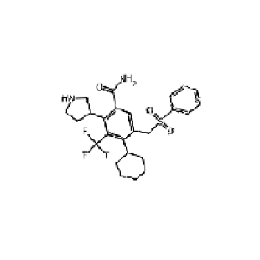 NC(=O)c1cc(CS(=O)(=O)c2ccccc2)c(C2CCCCC2)c(C(F)(F)F)c1C1CCNC1